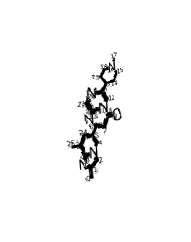 Cc1cn2cc(-c3cc(=O)n4cc(C5CCN(C)CC5)ncc4n3)cc(C)c2n1